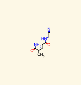 CC(CCC(=O)NCC#N)C(N)=O